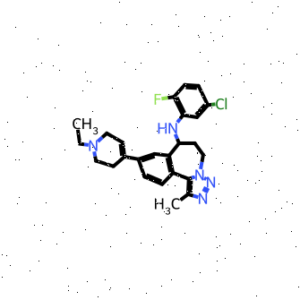 CCN1CC=C(c2ccc3c(c2)C(Nc2cc(Cl)ccc2F)CCn2nnc(C)c2-3)CC1